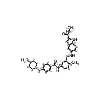 CNC(=O)c1cc2cc(NCc3cc(NC(=O)c4ccc(CN5CCN(C)CC5)cc4)ccc3C)cnc2[nH]1